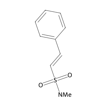 CNS(=O)(=O)/C=C/c1ccccc1